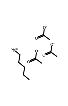 CC(=O)[O-].CC(=O)[O-].CC(=O)[O-].CCCC[CH2][Pb+3]